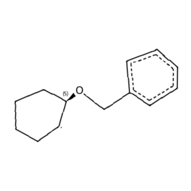 [CH]1CCCC[C@H]1OCc1ccccc1